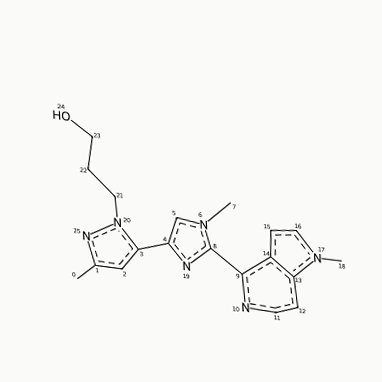 Cc1cc(-c2cn(C)c(-c3nccc4c3ccn4C)n2)n(CCCO)n1